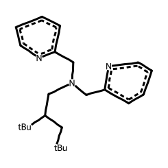 CC(C)(C)CC(CN(Cc1ccccn1)Cc1ccccn1)C(C)(C)C